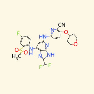 CS(=O)(=O)c1cc(F)ccc1Nc1cc(Nc2ccc(OC3CCOCC3)c(C#N)n2)nc2[nH]c(C(F)F)nc12